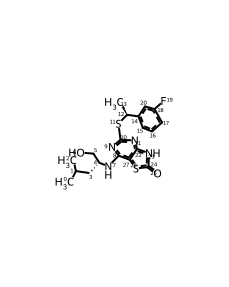 CC(C)C[C@H](CO)Nc1nc(S[C@@H](C)c2cccc(F)c2)nc2[nH]c(=O)sc12